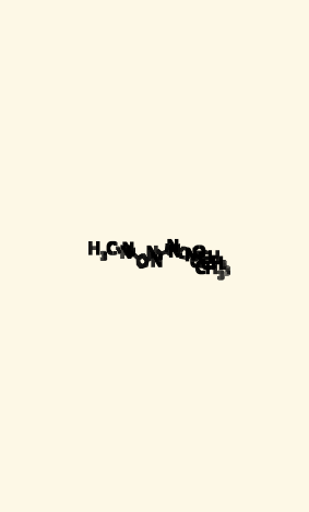 CCCn1cc(-c2cccc(-c3ncc(-c4cnn(C5CCN(C(=O)OC(C)(C)C)CC5)c4)cn3)c2)cn1